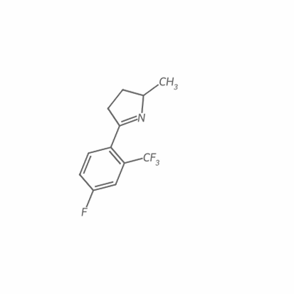 CC1CCC(c2ccc(F)cc2C(F)(F)F)=N1